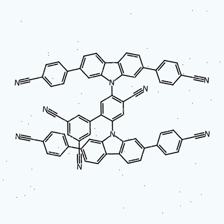 N#Cc1ccc(-c2ccc3c4ccc(-c5ccc(C#N)cc5)cc4n(-c4cc(-c5cc(C#N)cc(C#N)c5)c(-n5c6cc(-c7ccc(C#N)cc7)ccc6c6ccc(-c7ccc(C#N)cc7)cc65)cc4C#N)c3c2)cc1